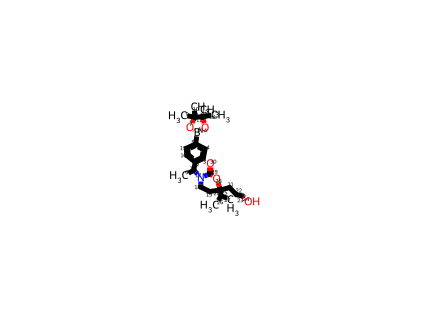 CC(c1ccc(B2OC(C)(C)C(C)(C)O2)cc1)N1CCC(CCCO)(C(C)C)OC1=O